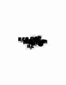 C=CC(=O)Nc1ccc2c(c1)c(C)cn2-c1nc(Nc2c(C)cccc2OCC)ncc1Cl